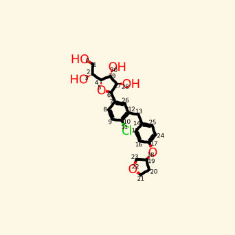 OC[C@@H](O)[C@H]1OC(c2ccc(Cl)c(Cc3ccc(OC4CCOC4)cc3)c2)[C@H](O)[C@H]1O